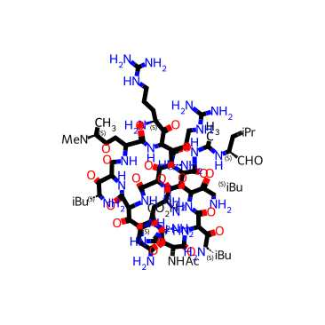 CC[C@H](C)C(N)C(=O)C(NC(=O)C(NC(=O)C(NC(C)=O)C(=O)[C@@H](N)CC(=O)O)C(=O)C(N)[C@@H](C)CC)C(=O)NC(C(=O)NC(C(=O)NC(C(=O)NC(CC(=O)[C@H](C)NC)C(=O)NC(C(=O)NC(CC(=O)[C@@H](N)Cc1c[nH]cn1)C(=O)NC(C)N[C@H](C=O)CC(C)C)C(=O)[C@@H](N)CCCNC(N)N)C(=O)C(N)[C@@H](C)CC)C(=O)[C@@H](N)CC(N)=O)C(=O)[C@@H](N)CCCNC(N)N